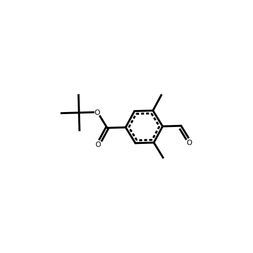 Cc1cc(C(=O)OC(C)(C)C)cc(C)c1C=O